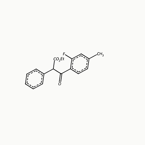 CCOC(=O)C(C(=O)c1ccc(C)cc1F)c1ccccc1